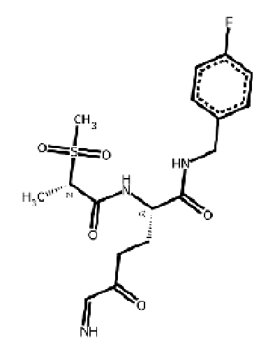 C[C@@H](C(=O)N[C@@H](CCC(=O)C=N)C(=O)NCc1ccc(F)cc1)S(C)(=O)=O